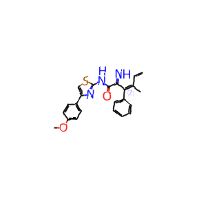 CC/C(C)=C(\C(=N)C(=O)Nc1nc(-c2ccc(OC)cc2)cs1)c1ccccc1